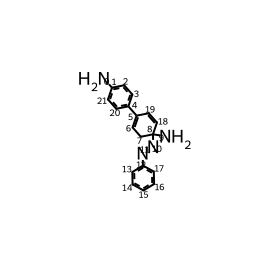 Nc1ccc(C2=CCC(N)(N=Nc3ccccc3)C=C2)cc1